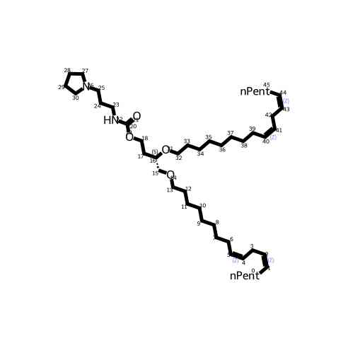 CCCCC/C=C\C/C=C\CCCCCCCCOC[C@H](CCOC(=O)NCCCN1CCCC1)OCCCCCCCC/C=C\C/C=C\CCCCC